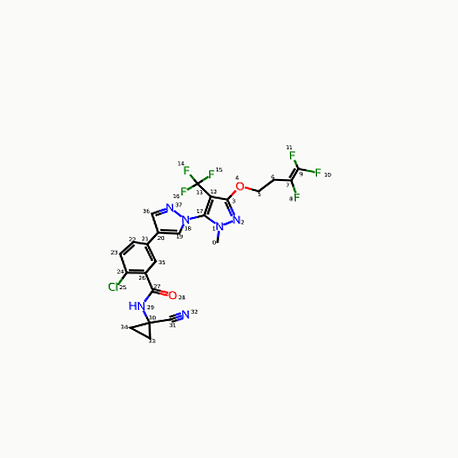 Cn1nc(OCCC(F)=C(F)F)c(C(F)(F)F)c1-n1cc(-c2ccc(Cl)c(C(=O)NC3(C#N)CC3)c2)cn1